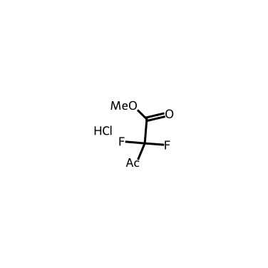 COC(=O)C(F)(F)C(C)=O.Cl